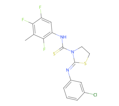 Cc1c(F)c(F)cc(NC(=S)N2CCSC2=Nc2cccc(Cl)c2)c1F